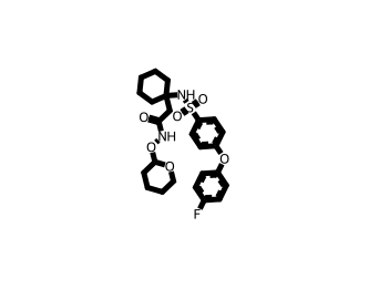 O=C(CC1(NS(=O)(=O)c2ccc(Oc3ccc(F)cc3)cc2)CCCCC1)NOC1CCCCO1